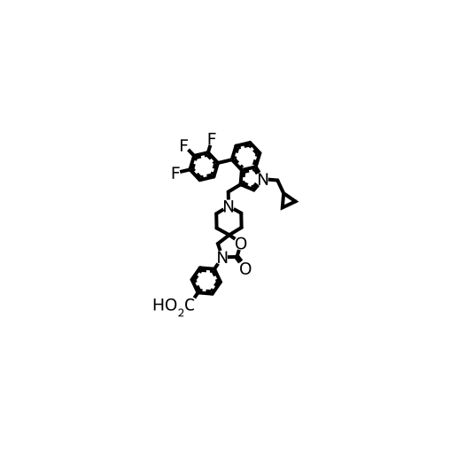 O=C(O)c1ccc(N2CC3(CCN(Cc4cn(CC5CC5)c5cccc(-c6ccc(F)c(F)c6F)c45)CC3)OC2=O)cc1